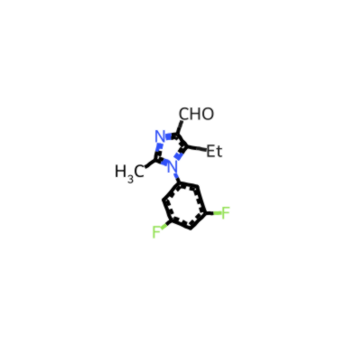 CCc1c(C=O)nc(C)n1-c1cc(F)cc(F)c1